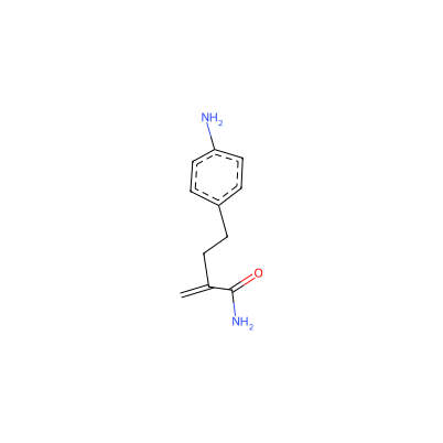 C=C(CCc1ccc(N)cc1)C(N)=O